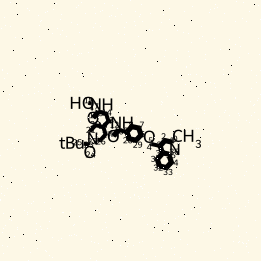 Cc1cc(COc2ccc(C(=O)NC(CC(=O)NO)C3CCN(C(=O)C(C)(C)C)CC3)cc2)c2ccccc2n1